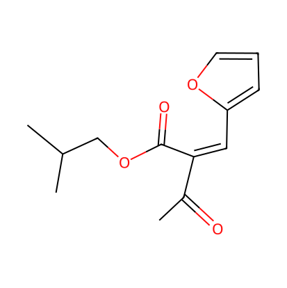 CC(=O)C(=Cc1ccco1)C(=O)OCC(C)C